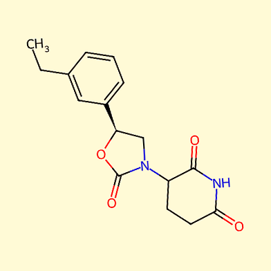 CCc1cccc([C@H]2CN(C3CCC(=O)NC3=O)C(=O)O2)c1